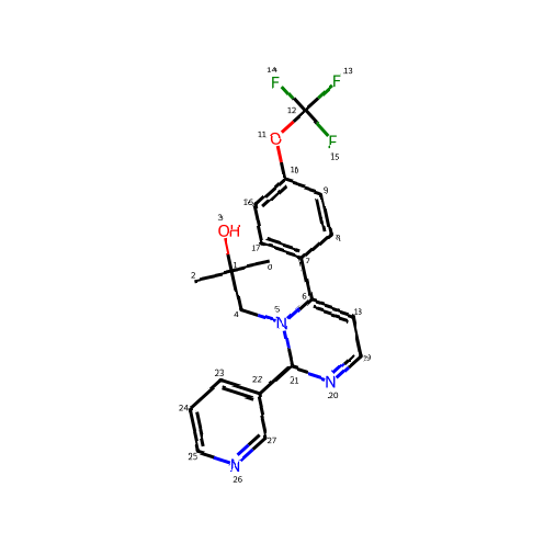 CC(C)(O)CN1C(c2ccc(OC(F)(F)F)cc2)=CC=NC1c1cccnc1